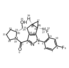 O=C(c1nn(-c2ccc(F)cc2F)c2c1C[C@H]1C[C@@H]21)N1CCC[C@@H]1CO